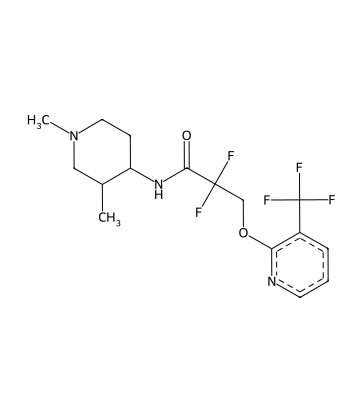 CC1CN(C)CCC1NC(=O)C(F)(F)COc1ncccc1C(F)(F)F